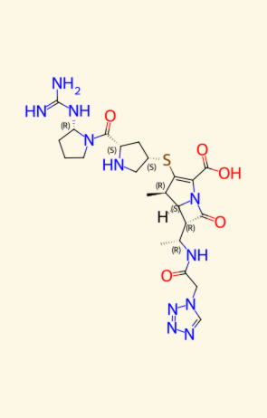 C[C@@H](NC(=O)Cn1cnnn1)[C@H]1C(=O)N2C(C(=O)O)=C(S[C@@H]3CN[C@H](C(=O)N4CCC[C@@H]4NC(=N)N)C3)[C@H](C)[C@H]12